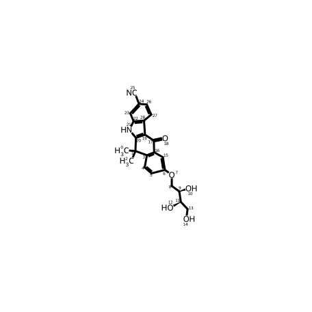 CC1(C)c2ccc(OC[C@@H](O)[C@H](O)CO)cc2C(=O)c2c1[nH]c1cc(C#N)ccc21